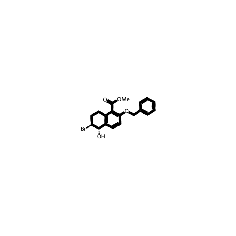 COC(=O)c1c(OCc2ccccc2)ccc2c1CC[C@H](Br)[C@H]2O